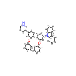 C1=CNCC(c2ccc3c(c2)Oc2ccccc2-c2ccccc2Oc2cc(-n4c5c(c6ccccc64)C=CCC5)ccc2-3)=C1